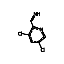 N=Cc1ncc(Cl)cc1Cl